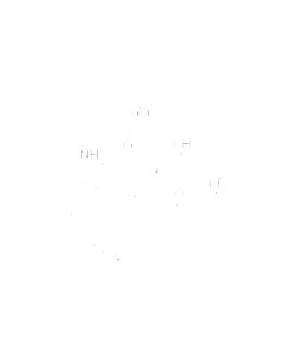 CCCO[Si](C)(OCCC)c1ccccc1N